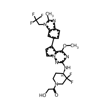 COc1nc(N[C@@H]2CCN(C(=O)CO)CC2(F)F)nn2ccc(-c3ccc4nc(C)n(CC(F)(F)F)c4c3)c12